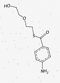 Nc1ccc(C(=O)SCCOCCO)cc1